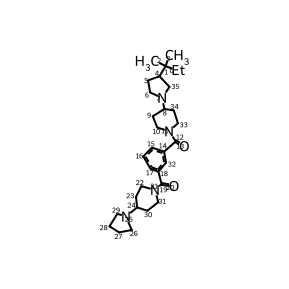 CCC(C)(C)C1CCN(C2CCN(C(=O)c3cccc(C(=O)N4CCC(N5CCCC5)CC4)c3)CC2)C1